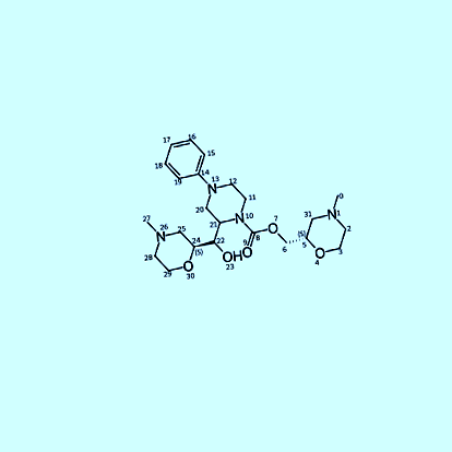 CN1CCO[C@H](COC(=O)N2CCN(c3ccccc3)CC2C(O)[C@@H]2CN(C)CCO2)C1